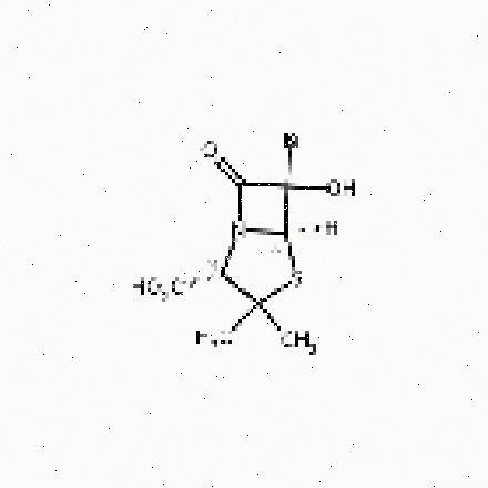 CC1(C)S[C@H]2N(C(=O)C2(O)Br)[C@H]1C(=O)O